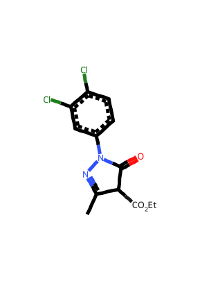 CCOC(=O)C1C(=O)N(c2ccc(Cl)c(Cl)c2)N=C1C